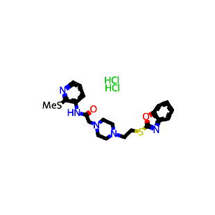 CSc1ncccc1NC(=O)CN1CCN(CCSc2nc3ccccc3o2)CC1.Cl.Cl